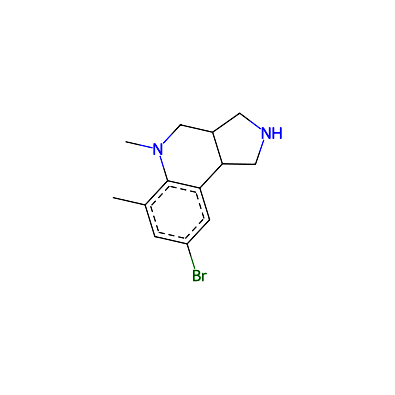 Cc1cc(Br)cc2c1N(C)CC1CNCC21